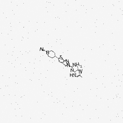 CC1=CNC(/N=C(\N)n2cc3cc(C4CCB(C#N)CC4)sc3n2)C(C)=N1